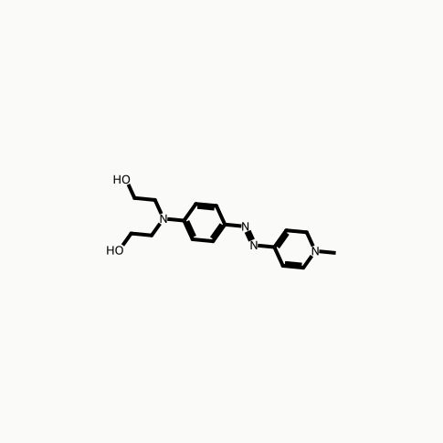 CN1C=CC(N=Nc2ccc(N(CCO)CCO)cc2)=CC1